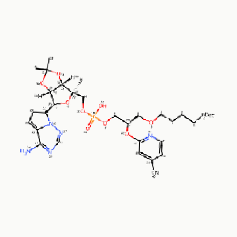 CCCCCCCCCCCCCCOC[C@H](COP(=O)(O)OC[C@@]1(C)O[C@@H](C2CC=C3C(N)=NC=NN32)[C@@H]2OC(C)(C)O[C@@H]21)Oc1cc(C#N)ccn1